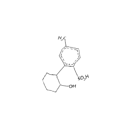 Cc1ccc(S(=O)(=O)O)c(C2CCCCC2O)c1